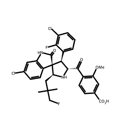 COc1cc(C(=O)O)ccc1C(=O)[C@@H]1N[C@@H](CC(C)(C)CF)[C@@]2(C(=O)Nc3cc(Cl)ccc32)[C@H]1c1cccc(Cl)c1F